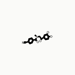 CN(CC(=O)c1ccc([O])c([O])c1)C(=O)c1ccc(C#N)cc1